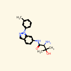 Cc1cccc(-n2ncc3ccc(NC(=O)[C@@H](N)C(C)(C)O)cc32)c1